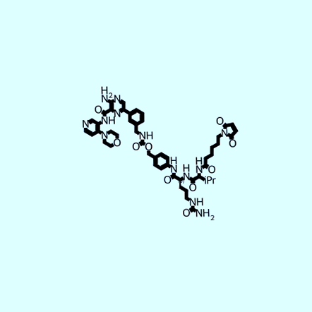 CC(C)C(NC(=O)CCCCCN1C(=O)C=CC1=O)C(=O)N[C@@H](CCCNC(N)=O)C(=O)Nc1ccc(COC(=O)NCc2cccc(-c3cnc(N)c(C(=O)Nc4cnccc4N4CCOCC4)n3)c2)cc1